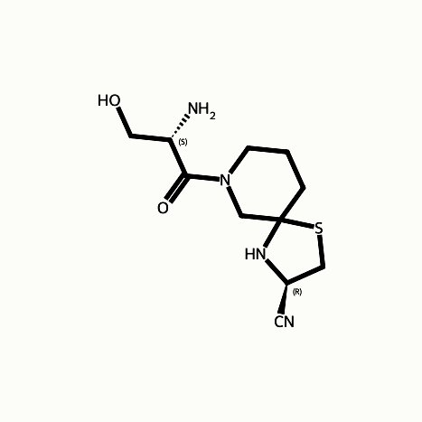 N#C[C@@H]1CSC2(CCCN(C(=O)[C@@H](N)CO)C2)N1